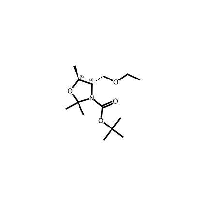 CCOC[C@H]1[C@H](C)OC(C)(C)N1C(=O)OC(C)(C)C